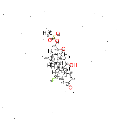 C[C@]12C[C@H](O)[C@H]3[C@@H](C[C@H](F)C4=CC(=O)C=C[C@@]43C)[C@@H]1[C@H]1C[C@H]1[C@@H]2C(=O)COS(C)(=O)=O